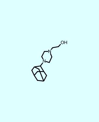 OCCN1CCN(C2C3CC4CC(C3)CC2C4)CC1